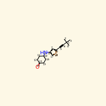 CC(C)(C)C#Cc1cc(NC2CCC(=O)CC2)cs1